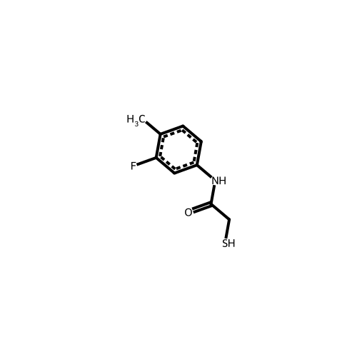 Cc1ccc(NC(=O)CS)cc1F